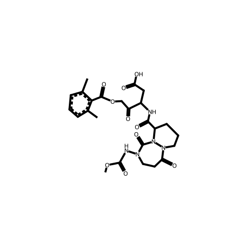 COC(=O)NN1CCC(=O)N2CCCC(C(=O)NC(CC(=O)O)C(=O)COC(=O)c3c(C)cccc3C)N2C1=O